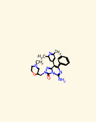 Cc1cc(-c2c(-c3ccccc3)nc(N)n3c(=O)n(CC4CN(C)CCO4)nc23)cc(C)n1